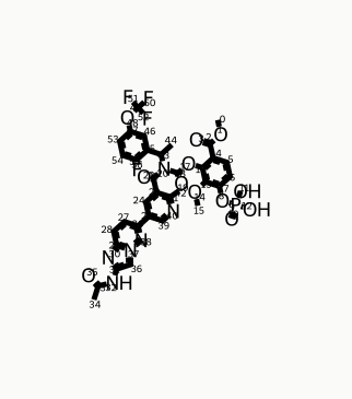 COC(=O)c1ccc(OP(=O)(O)O)c(OC)c1OC(=O)N(C(=O)c1cc(-c2ccc3nc(NC(C)=O)cn3n2)cnc1C)C(C)c1cc(OC(F)(F)F)ccc1F